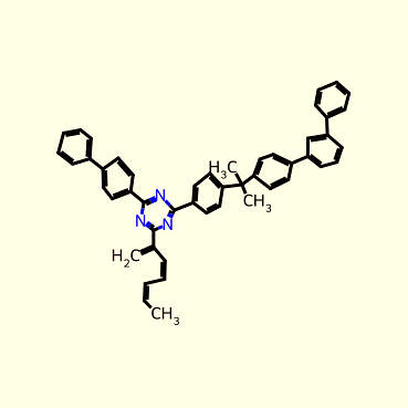 C=C(/C=C\C=C/C)c1nc(-c2ccc(-c3ccccc3)cc2)nc(-c2ccc(C(C)(C)c3ccc(-c4cccc(-c5ccccc5)c4)cc3)cc2)n1